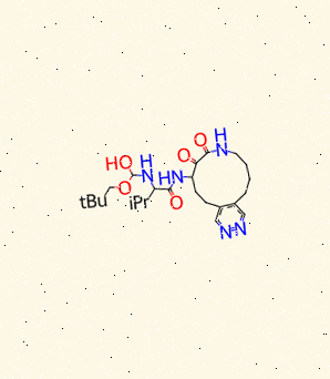 CC(C)C(NC(O)OCC(C)(C)C)C(=O)NC1CCc2cnncc2CCCCNC(=O)C1=O